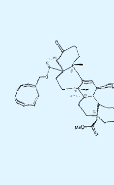 COC(=O)[C@]12CCC(C)(C)CC1C1C(=O)C=C3[C@@]4(C)CCC(=O)[C@@H](C)C4(C(=O)OCc4ccccc4)CC[C@@]3(C)[C@]1(C)CC2